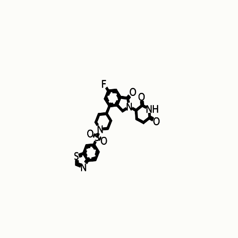 O=C1CCC(N2Cc3c(cc(F)cc3C3CCN(S(=O)(=O)c4ccc5ncsc5c4)CC3)C2=O)C(=O)N1